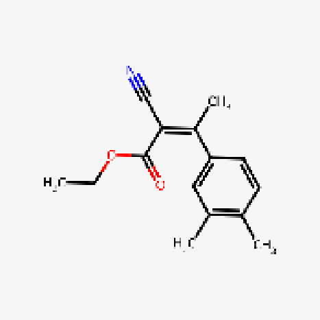 CCOC(=O)/C(C#N)=C(/C)c1ccc(C)c(C)c1